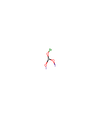 BrOB(OI)OI